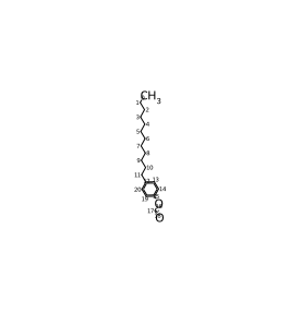 CCCCCCCCCCCCc1ccc(O[C]=O)cc1